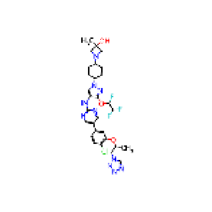 CC(Cn1cnnn1)Oc1cc(-c2cnc(Nc3cn(C4CCC(N5CC(C)(O)C5)CC4)nc3OC(F)C(F)F)nc2)ccc1Cl